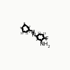 Nc1cc(/N=N/c2ccccc2)ccc1F